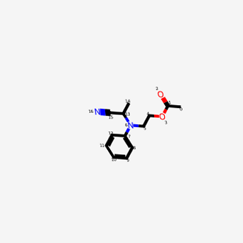 CC(=O)OCCN(c1ccccc1)C(C)C#N